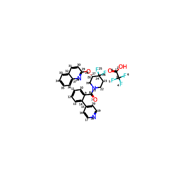 O=C(O)C(F)(F)F.O=C(c1ccccc1-c1ccncc1)N1CCC(F)(F)[C@@H](Oc2ccc3ccccc3n2)C1